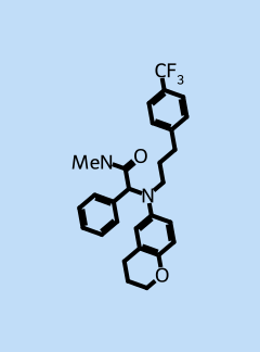 CNC(=O)C(c1ccccc1)N(CCCc1ccc(C(F)(F)F)cc1)c1ccc2c(c1)CCCO2